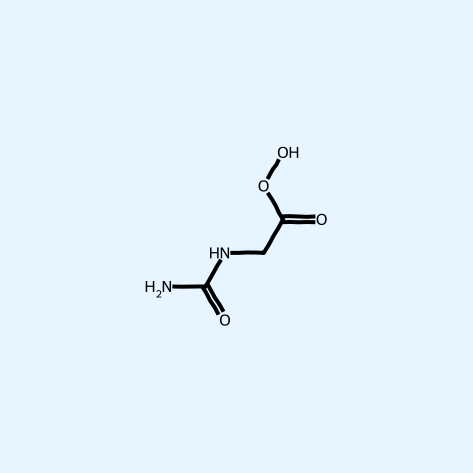 NC(=O)NCC(=O)OO